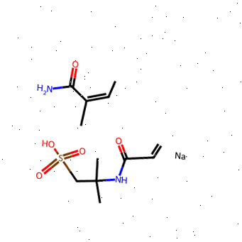 C=CC(=O)NC(C)(C)CS(=O)(=O)O.CC=C(C)C(N)=O.[Na]